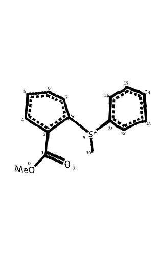 COC(=O)c1ccccc1[S+](C)c1ccccc1